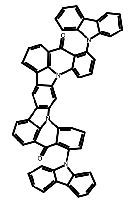 O=c1c2cccc3c4cc5c6cccc7c(=O)c8c(-n9c%10ccccc%10c%10ccccc%109)cccc8n(c5cc4n(c4cccc(-n5c8ccccc8c8ccccc85)c14)c23)c76